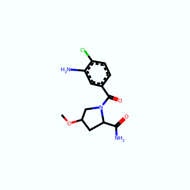 COC1CC(C(N)=O)N(C(=O)c2ccc(Cl)c(N)c2)C1